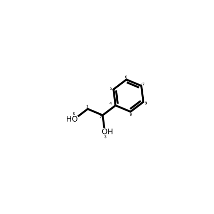 OCC(O)c1cc[c]cc1